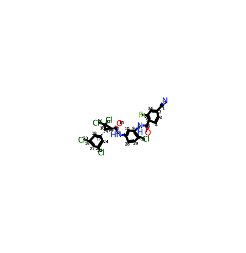 N#Cc1ccc(C(=O)Nc2cc(NC(=O)[C@H]3[C@H](c4cc(Cl)cc(Cl)c4)C3(Cl)Cl)ccc2Cl)c(F)c1